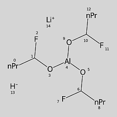 CCCC(F)[O][Al]([O]C(F)CCC)[O]C(F)CCC.[H-].[Li+]